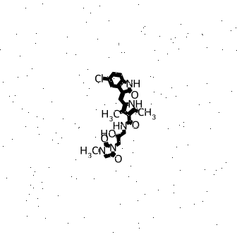 Cc1[nH]c(C=C2C(=O)Nc3ccc(Cl)cc32)c(C)c1C(=O)NC[C@H](O)CN1C(=O)CN(C)C1=O